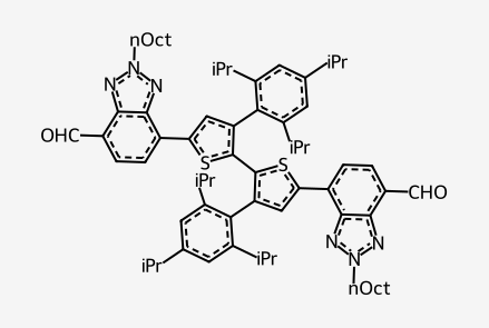 CCCCCCCCn1nc2c(C=O)ccc(-c3cc(-c4c(C(C)C)cc(C(C)C)cc4C(C)C)c(-c4sc(-c5ccc(C=O)c6nn(CCCCCCCC)nc56)cc4-c4c(C(C)C)cc(C(C)C)cc4C(C)C)s3)c2n1